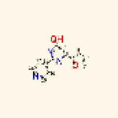 Oc1cc(-c2ccco2)nc(-c2ccncc2)n1